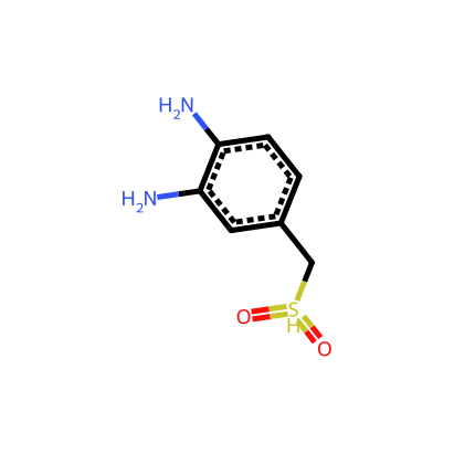 Nc1ccc(C[SH](=O)=O)cc1N